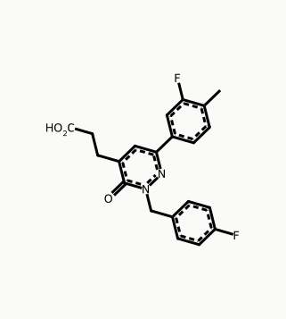 Cc1ccc(-c2cc(CCC(=O)O)c(=O)n(Cc3ccc(F)cc3)n2)cc1F